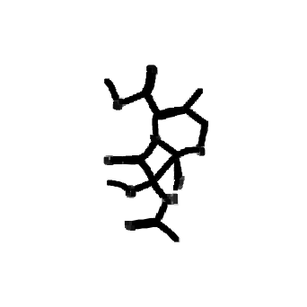 COC(=O)C1=C(C)CS[C@H]2N1C(=O)C2(NC(C)=O)OC